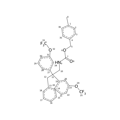 Cc1ccc(COC(=O)NCC(Cc2ccccc2)(c2cccc(OC(F)(F)F)c2)c2cccc(OC(F)(F)F)c2)cc1